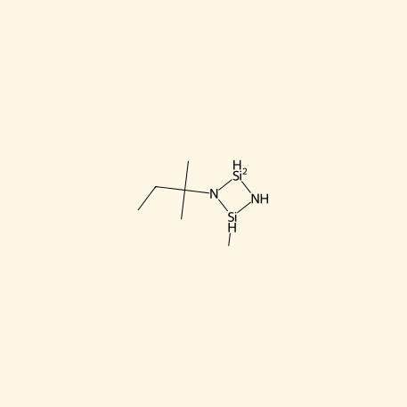 CCC(C)(C)N1[SiH2]N[SiH]1C